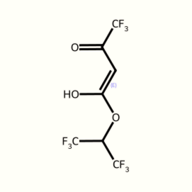 O=C(/C=C(\O)OC(C(F)(F)F)C(F)(F)F)C(F)(F)F